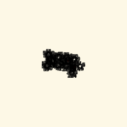 C[Si](C)(C1CCCC1)C1([Si](C)(C)C2CCCC2)c2ccccc2Oc2c1cccc2[Si](c1ccccc1)(c1ccccc1)c1cccc(-n2c3ccccc3n3c4ccccc4nc23)c1